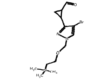 C[Si](C)(C)CCOCn1cc(Br)c(C2CC2C=O)n1